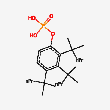 CCCC(C)(C)c1ccc(OP(=O)(O)O)c(C(C)(C)CCC)c1C(C)(C)CCC